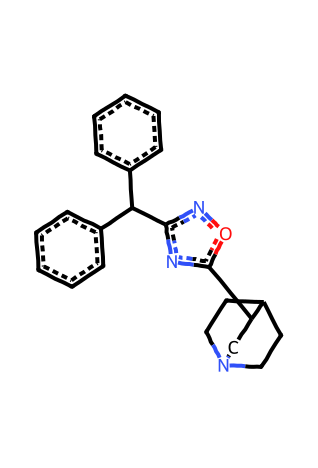 c1ccc(C(c2ccccc2)c2noc(C3CN4CCC3CC4)n2)cc1